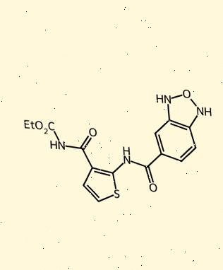 CCOC(=O)NC(=O)c1ccsc1NC(=O)c1ccc2c(c1)NON2